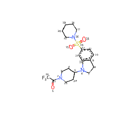 O=C(N1CCC(N2CCc3ccc(S(=O)(=O)N4CCCCC4)cc32)CC1)C(F)(F)F